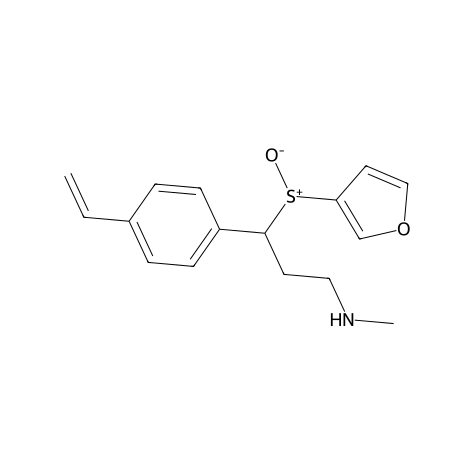 C=Cc1ccc(C(CCNC)[S+]([O-])c2ccoc2)cc1